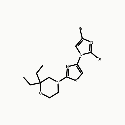 CCC1(CC)CN(c2nc(-n3cc(Br)nc3Br)cs2)CCO1